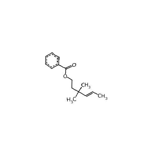 CC=CC(C)(C)CCOC(=O)c1ccccc1